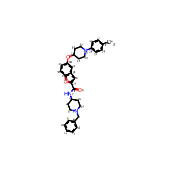 O=C(NC1CCN(Cc2ccccc2)CC1)c1cc2cc(OC3CCN(c4ccc(C(F)(F)F)cc4)CC3)ccc2o1